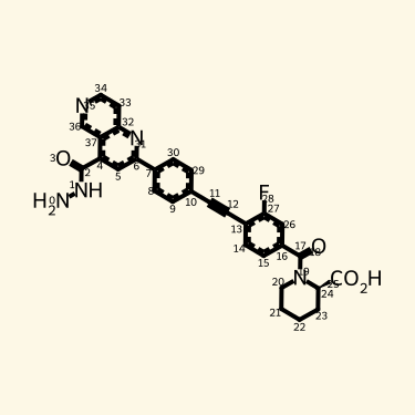 NNC(=O)c1cc(-c2ccc(C#Cc3ccc(C(=O)N4CCCC[C@@H]4C(=O)O)cc3F)cc2)nc2ccncc12